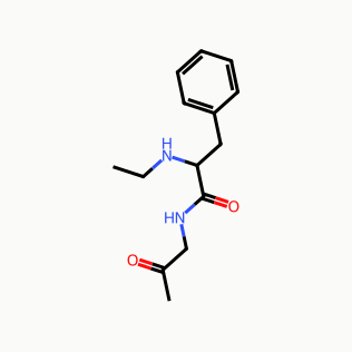 CCNC(Cc1ccccc1)C(=O)NCC(C)=O